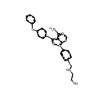 Nc1ncnc2c1c(-c1ccc(Oc3ccccc3)cc1)nn2-c1ccc(CNCCO)cc1